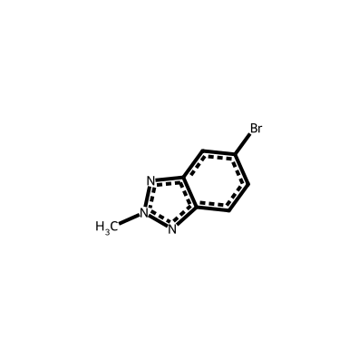 Cn1nc2ccc(Br)cc2n1